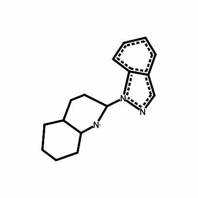 c1ccc2c(c1)cnn2C1CCC2CCCCC2[N]1